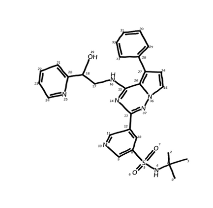 CC(C)(C)NS(=O)(=O)c1cncc(-c2nc(NCC(O)c3ccccn3)c3c(-c4ccccc4)ccn3n2)c1